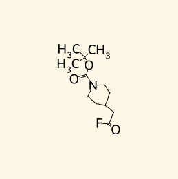 CC(C)(C)OC(=O)N1CCC(CC(=O)F)CC1